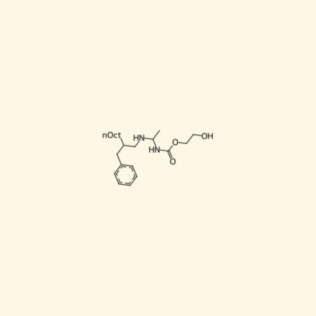 CCCCCCCCC(CNC(C)NC(=O)OCCO)Cc1ccccc1